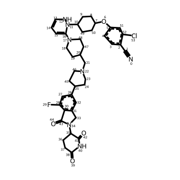 N#Cc1ccc(OC2CCC(N3NC=CC=C3N3CCC(CN4CCC(c5cc(F)c6c(c5)CN(C5CCC(=O)NC5=O)C6=O)CC4)CC3)CC2)cc1Cl